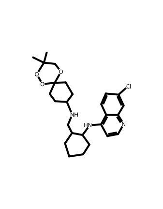 CC1(C)COC2(CCC(NCC3CCCCC3Nc3ccnc4cc(Cl)ccc34)CC2)OO1